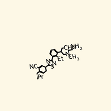 CCc1c(-c2nsc(C3C=C(C#N)C(CC(C)C)=CC3)n2)cccc1C(CC=O)CN(C)CCN